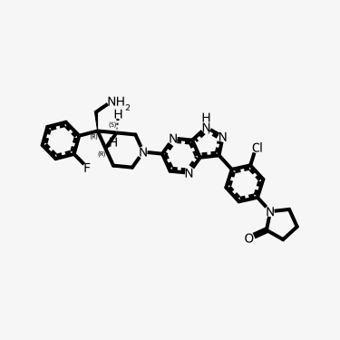 NC[C@]1(c2ccccc2F)[C@@H]2CCN(c3cnc4c(-c5ccc(N6CCCC6=O)cc5Cl)n[nH]c4n3)C[C@@H]21